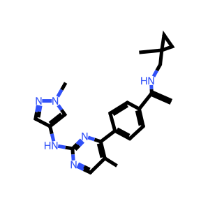 C=C(NCC1(C)CC1)c1ccc(-c2nc(Nc3cnn(C)c3)ncc2C)cc1